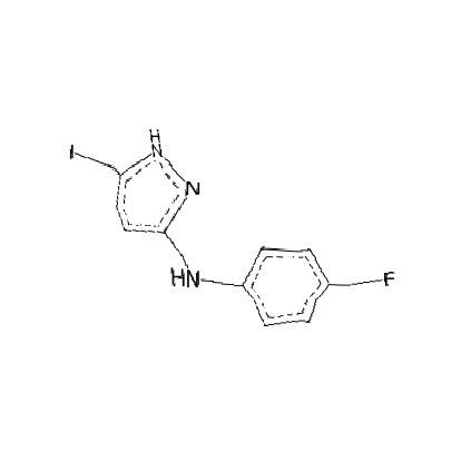 Fc1ccc(Nc2cc(I)[nH]n2)cc1